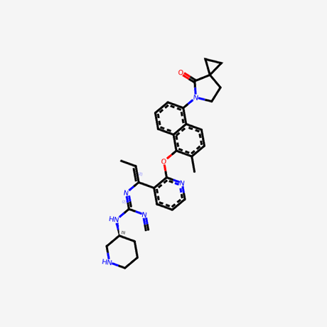 C=N/C(=N\C(=C/C)c1cccnc1Oc1c(C)ccc2c(N3CCC4(CC4)C3=O)cccc12)N[C@H]1CCCNC1